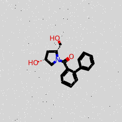 O=C(c1ccccc1-c1ccccc1)N1C[C@H](O)C[C@@H]1CO